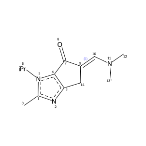 Cc1nc2c(n1C(C)C)C(=O)/C(=C/N(C)C)C2